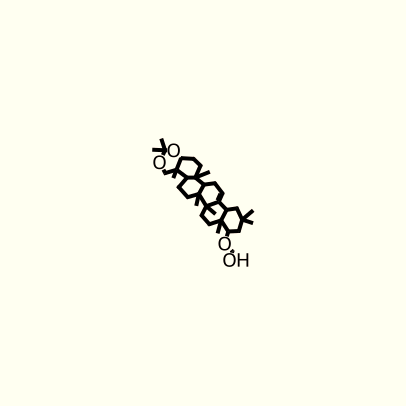 CC1(C)CC(OCO)C2(C)CCC3(C)C(=CCC4C5(C)CCC6OC(C)(C)OCC6(C)C5CCC43C)C2C1